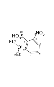 CCOCC.O=[N+]([O-])c1ccccc1S(=O)(=O)O